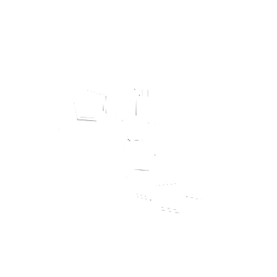 NC1=C(c2cccc(C(F)(F)F)c2)C(=O)/C(=C\c2cccc3ccc(C(F)(F)F)cc23)O1